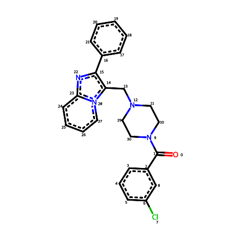 O=C(c1cccc(Cl)c1)N1CCN(Cc2c(-c3ccccc3)nc3ccccn23)CC1